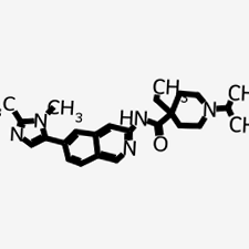 CCC1(C(=O)Nc2cc3cc(-c4cnc(C)n4C)ccc3cn2)CCN(C(C)C)CC1